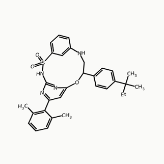 CCC(C)(C)c1ccc(C2CNc3cccc(c3)S(=O)(=O)Nc3nc(cc(-c4c(C)cccc4C)n3)O2)cc1